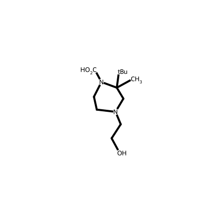 CC(C)(C)C1(C)CN(CCO)CCN1C(=O)O